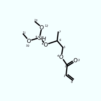 C=CC(=O)OCC(C)O[SiH](OC)OC